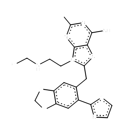 CC(C)CNCCn1c(Cc2cc3c(cc2-c2nccs2)OCO3)nc2c(N)nc(F)nc21